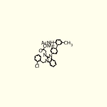 COC(=O)CN=c1n(Cc2ccccc2Cl)c2ccccc2n1-c1ccc(-c2cc(C)ccc2NC(C)=O)cc1